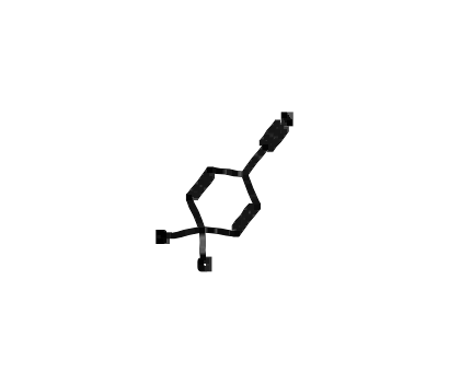 N#CC1C=CC(Cl)(Br)C=C1